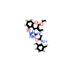 CCOC(=O)C1=C(C)N(CC(=O)Nc2c(C)cccc2C)c2nnnn2C1c1ccccc1Br